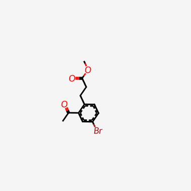 COC(=O)CCc1ccc(Br)cc1C(C)=O